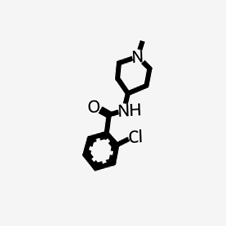 CN1CCC(NC(=O)c2ccccc2Cl)CC1